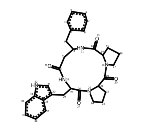 O=C1CC(Cc2ccccc2)NC(=O)C2CCCN2C(=O)C2CCCN2C(=O)C(Cc2c[nH]c3ccccc23)N1